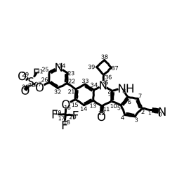 N#Cc1ccc2c(c1)[nH]c1c2c(=O)c2cc(OC(F)(F)F)c(-c3cncc(OS(=O)(=O)F)c3)cc2n1C1CCC1